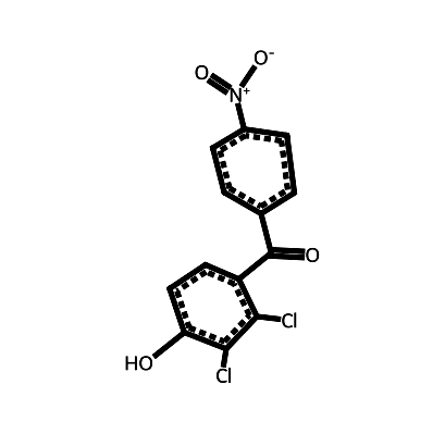 O=C(c1ccc([N+](=O)[O-])cc1)c1ccc(O)c(Cl)c1Cl